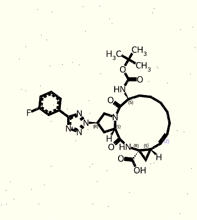 CC(C)(C)OC(=O)N[C@H]1CCCCC/C=C\[C@@H]2C[C@@]2(C(=O)O)NC(=O)[C@@H]2C[C@@H](n3nnc(-c4cccc(F)c4)n3)CN2C1=O